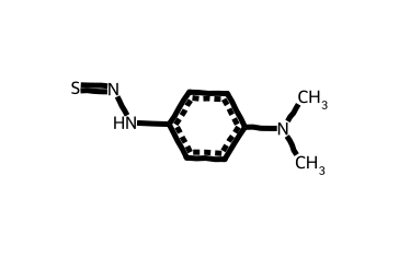 CN(C)c1ccc(NN=S)cc1